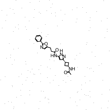 CC(=O)N[C@H]1C[C@@H](c2cc(NC(=O)CCc3cnc(-c4ccccc4)o3)[nH]n2)C1